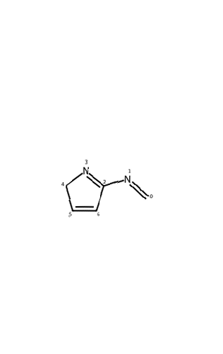 C=NC1=NCC=C1